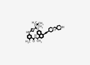 Cc1ccc(NC2CN(C(=O)OC(C)(C)C)C2)cc1C(=O)N[C@H](C)c1ccc(C#CC2CCN(CC3(F)CCNCC3)CC2)c2ccccc12